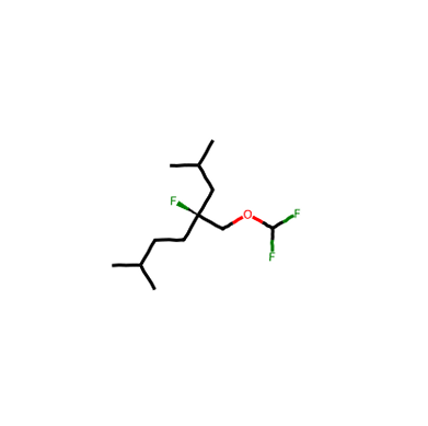 CC(C)CC[C@@](F)(COC(F)F)CC(C)C